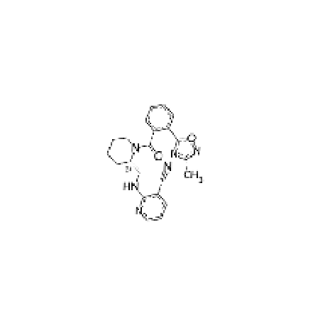 Cc1noc(-c2ccccc2C(=O)N2CCCC[C@H]2CNc2ncccc2C#N)n1